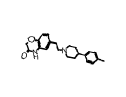 Cc1ccc(C2CCN(CCc3ccc4c(c3)NC(=O)CO4)CC2)cc1